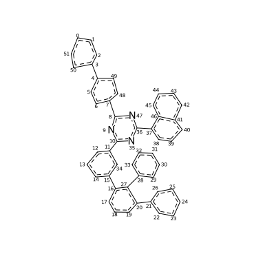 c1ccc(-c2ccc(-c3nc(-c4cccc(-c5cccc(-c6ccccc6)c5-c5ccccc5)c4)nc(-c4cccc5ccccc45)n3)cc2)cc1